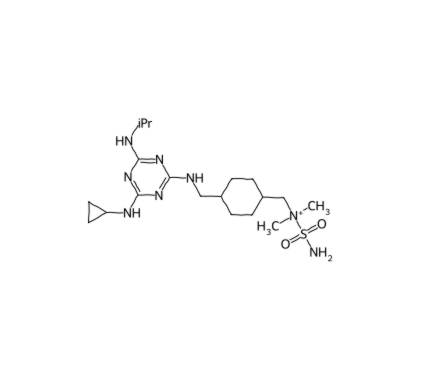 CC(C)Nc1nc(NCC2CCC(C[N+](C)(C)S(N)(=O)=O)CC2)nc(NC2CC2)n1